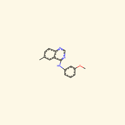 COc1cccc(Nc2ncnc3ccc(C)cc23)c1